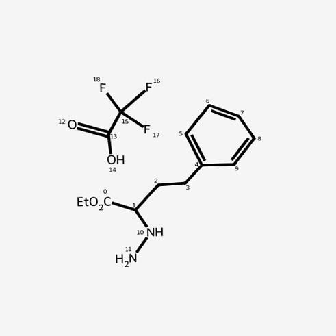 CCOC(=O)C(CCc1ccccc1)NN.O=C(O)C(F)(F)F